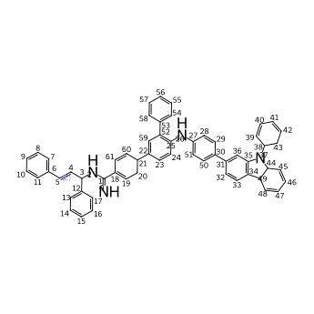 N=C(NC(/C=C/c1ccccc1)c1ccccc1)C1=CCC(c2ccc(Nc3ccc(-c4ccc5c(c4)N(C4C=CC=CC4)C4C=CC=CC54)cc3)c(-c3ccccc3)c2)C=C1